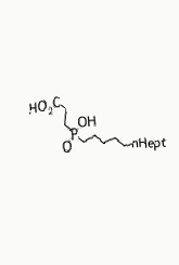 CCCCCCCCCCCCP(=O)(O)CCC(=O)O